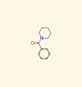 O=C(c1ccccc1)N1CCCCC1